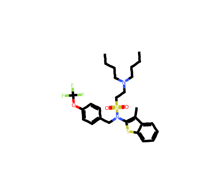 CCCCN(CCCC)CCS(=O)(=O)N(Cc1ccc(OC(F)(F)F)cc1)c1sc2ccccc2c1C